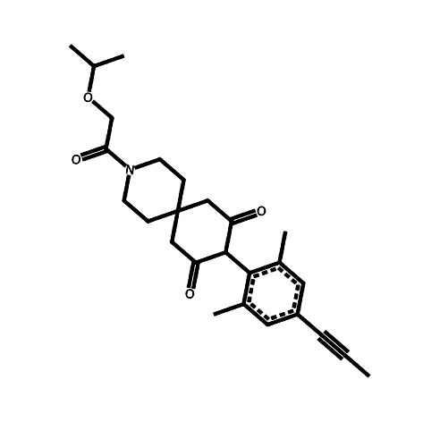 CC#Cc1cc(C)c(C2C(=O)CC3(CCN(C(=O)COC(C)C)CC3)CC2=O)c(C)c1